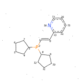 C(=CP(C1CCCC1)C1CCCC1)c1ccccn1